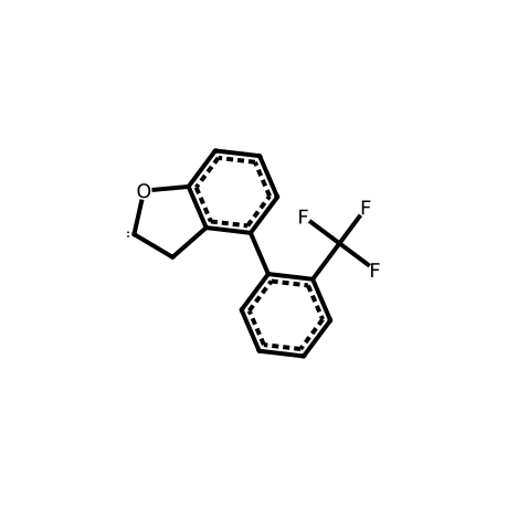 FC(F)(F)c1ccccc1-c1cccc2c1C[C]O2